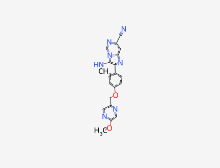 CNc1c(-c2ccc(OCc3cnc(OC)cn3)cc2)nc2cc(C#N)ncn12